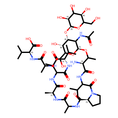 CC(=O)NC1[C@@H](OC(C)[C@H](N)C(=O)NC(C(=O)N2CCC[C@H]2C(=O)NC(C)C(=O)N[C@@H](C)C(=O)NC(C(=O)N[C@H](C(=O)NC(C)C(=O)N[C@H](C(=O)O)C(C)C)C(C)C)C(C)C)C(C)C)OC(CO)[C@H](O)[C@@H]1O[C@@H]1OC(CO)[C@H](O)C(O)[C@@H]1O